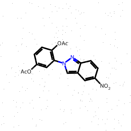 CC(=O)Oc1ccc(OC(C)=O)c(-n2cc3cc([N+](=O)[O-])ccc3n2)c1